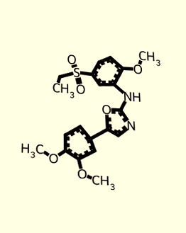 CCS(=O)(=O)c1ccc(OC)c(Nc2ncc(-c3ccc(OC)c(OC)c3)o2)c1